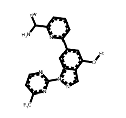 CCCC(N)c1cccc(-c2cc(OCC)c3cnn(-c4nccc(C(F)(F)F)n4)c3c2)n1